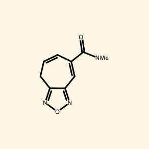 CNC(=O)C1=Cc2nonc2CC=C1